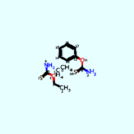 C.C.CCOC(N)=S.NC(=S)Oc1ccccc1